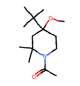 COC1(C(C)(C)C)CCN(C(C)=O)C(C)(C)C1